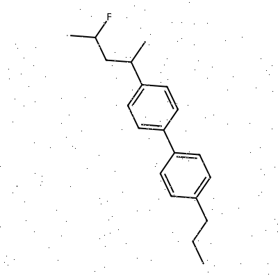 [CH2]C(F)CC(C)c1ccc(-c2ccc(CCC)cc2)cc1